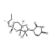 CC[C@@H](C)O[P@@]1(=O)OC[C@H]2O[C@@H](n3ccc(=O)[nH]c3=O)[C@](C)(Cl)[C@@H]2O1